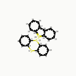 c1ccc2c(c1)Sc1ccccc1S2.c1ccc2c(c1)sc1ccccc12